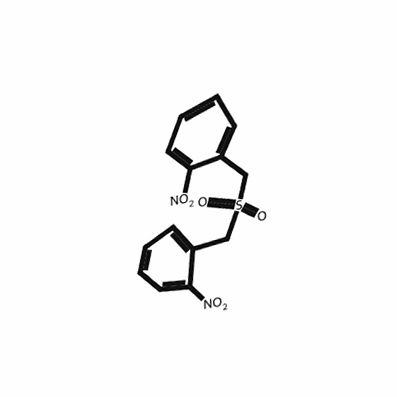 O=[N+]([O-])c1ccccc1CS(=O)(=O)Cc1ccccc1[N+](=O)[O-]